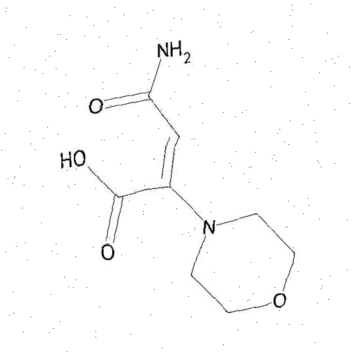 NC(=O)/C=C(\C(=O)O)N1CCOCC1